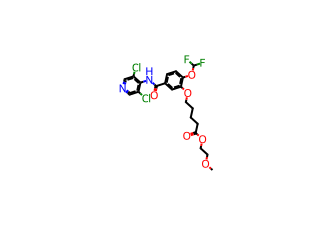 COCCOC(=O)CCCCOc1cc(C(=O)Nc2c(Cl)cncc2Cl)ccc1OC(F)F